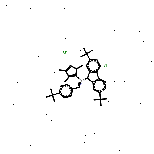 CC1=CC(C)[C](/[Zr+2](=[CH]\c2ccc(C(C)(C)C)cc2)[CH]2c3cc(C(C)(C)C)ccc3-c3ccc(C(C)(C)C)cc32)=C1C.[Cl-].[Cl-]